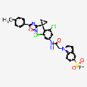 CCS(=O)(=O)c1ccc2c(ccn2CC(=O)Nc2cc(Cl)c(C3(c4noc(-c5ccc(C)cc5)n4)CC3)c(Cl)c2)c1